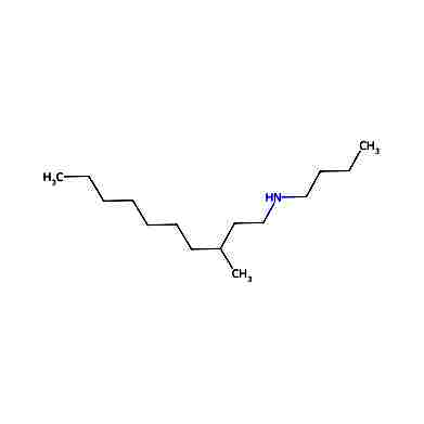 CCCCCCCC(C)CCNCCCC